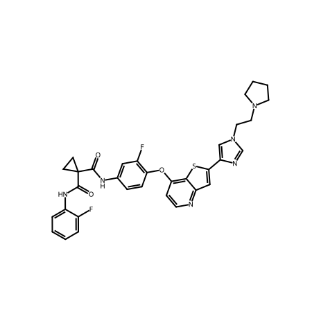 O=C(Nc1ccc(Oc2ccnc3cc(-c4cn(CCN5CCCC5)cn4)sc23)c(F)c1)C1(C(=O)Nc2ccccc2F)CC1